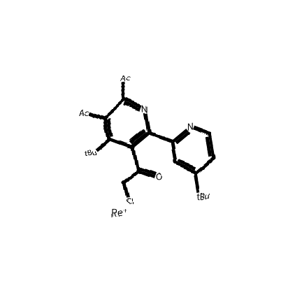 CC(=O)c1nc(-c2cc(C(C)(C)C)ccn2)c(C(=O)CCl)c(C(C)(C)C)c1C(C)=O.[Re+]